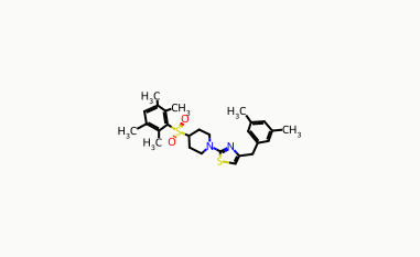 Cc1cc(C)cc(Cc2csc(N3CCC(S(=O)(=O)c4c(C)c(C)cc(C)c4C)CC3)n2)c1